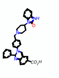 O=C(O)c1ccc2c(c1)=CN(c1ccc(CN3CCC(n4c(=O)[nH]c5ccccc54)CC3)cc1)C(c1ccccc1)N=2